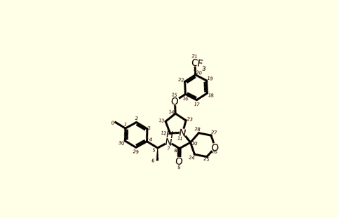 Cc1ccc([C@H](C)NC(=O)C2(N3CCC(Oc4cccc(C(F)(F)F)c4)C3)CCOCC2)cc1